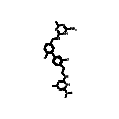 CC1N=C(N)NC(NCc2ccc(Cl)c(-c3ccc(CCNC4=NC(C)N=C(N(C)C)N4)c(Cl)c3)c2)=N1